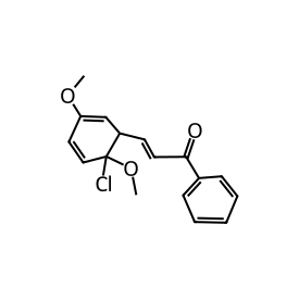 COC1=CC(C=CC(=O)c2ccccc2)C(Cl)(OC)C=C1